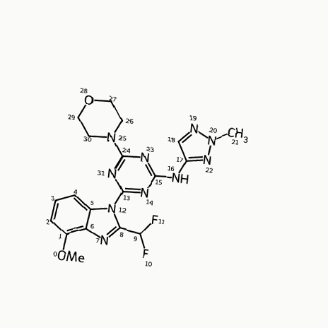 COc1cccc2c1nc(C(F)F)n2-c1nc(Nc2cnn(C)n2)nc(N2CCOCC2)n1